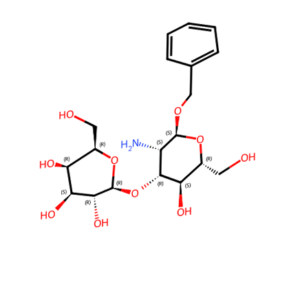 N[C@@H]1[C@@H](OCc2ccccc2)O[C@H](CO)[C@@H](O)[C@@H]1O[C@@H]1O[C@H](CO)[C@H](O)[C@H](O)[C@H]1O